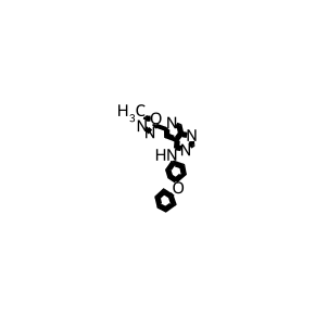 Cc1nnc(-c2cc3c(Nc4ccc(Oc5ccccc5)cc4)ncnc3cn2)o1